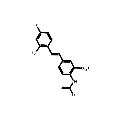 CCC(=O)Nc1ccc(/C=C/c2ccc(F)cc2C(F)(F)F)cc1C(=O)O